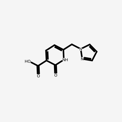 O=C(O)c1ccc(Cn2cccn2)[nH]c1=O